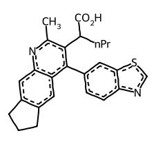 CCCC(C(=O)O)c1c(C)nc2cc3c(cc2c1-c1ccc2ncsc2c1)CCC3